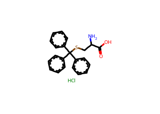 Cl.NC(CSC(c1ccccc1)(c1ccccc1)c1ccccc1)C(=O)O